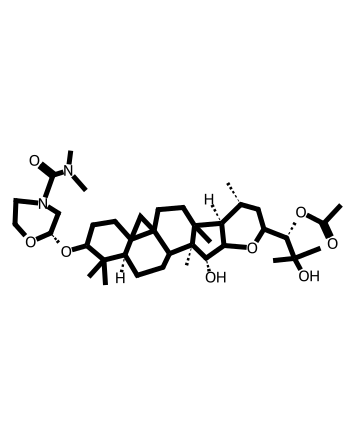 CC(=O)O[C@@H](C1C[C@@H](C)[C@H]2C(O1)[C@H](O)[C@@]1(C)C3CC[C@H]4C(C)(C)C(O[C@H]5CN(C(=O)N(C)C)CCO5)CCC45CC35CCC21C)C(C)(C)O